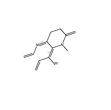 C=C/N=C1/CCC(=C)N(C)/C1=C(/C=C)C(C)C